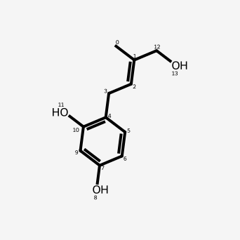 C/C(=C\Cc1ccc(O)cc1O)CO